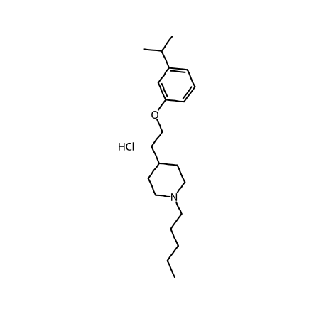 CCCCCN1CCC(CCOc2cccc(C(C)C)c2)CC1.Cl